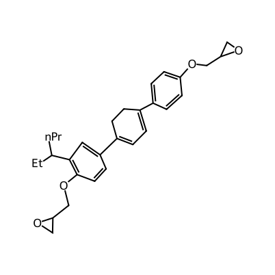 CCCC(CC)c1cc(C2=CC=C(c3ccc(OCC4CO4)cc3)CC2)ccc1OCC1CO1